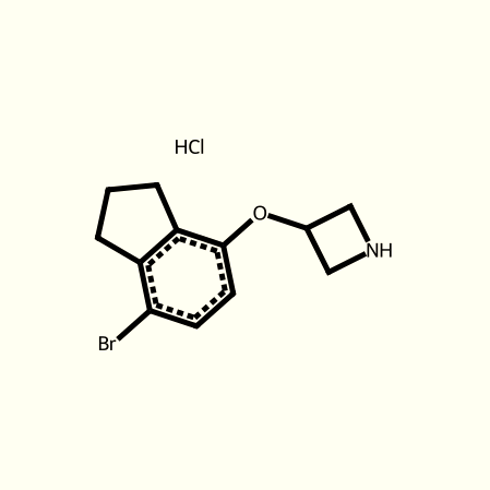 Brc1ccc(OC2CNC2)c2c1CCC2.Cl